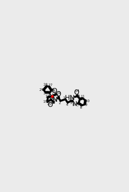 O=C(CCCc1nc2ccccc2c(=O)[nH]1)N1CCC2OC1C2N1COc2ccccc21